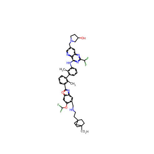 Cc1c(Nc2nc(C(F)F)nc3cc(CN4CCC(O)C4)cnc23)cccc1-c1cccc(-c2nc3cc(CNCCC45CCC(C(=O)O)(CC4)C5)c(OC(F)F)cc3o2)c1C